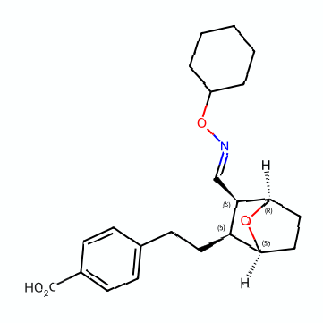 O=C(O)c1ccc(CC[C@H]2[C@@H](C=NOC3CCCCC3)[C@H]3CC[C@@H]2O3)cc1